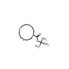 CC(C)(C)OC(=O)N1CCSCCSCCSCC1